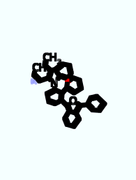 C=Cc1c(/C=C\C)n(-c2cccc(-c3oc(-c4ccccc4)c4ccccc34)c2-c2ccccc2)c2ccccc12